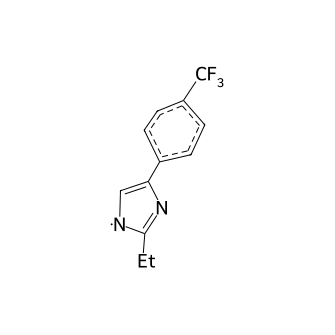 CCC1=NC(c2ccc(C(F)(F)F)cc2)=C[N]1